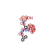 COC(=O)[C@H]1O[C@@H](Oc2ccc(COC(=O)N(CCS(C)(=O)=O)COCC(=O)O)cc2NC(=O)CN(C)C(=O)OCC2c3ccccc3-c3ccccc32)[C@H](OC(C)=O)[C@@H](OC(C)=O)[C@@H]1OC(C)=O